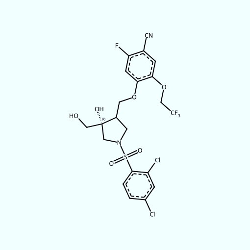 N#Cc1cc(OCC(F)(F)F)c(OCC2CN(S(=O)(=O)c3ccc(Cl)cc3Cl)C[C@@]2(O)CO)cc1F